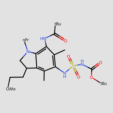 CCCN1CC(CCOC)c2c(C)c(NS(=O)(=O)NC(=O)OC(C)(C)C)c(C)c(NC(=O)C(C)(C)C)c21